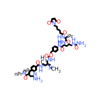 C=N/C=C(\C=C(/C)NC(=O)c1ccc2c(c1)N=C(N)CC(C(=O)N(CCC)CCC)=C2)CNC(=O)OCc1ccc(NC(=O)C(CCCNC(N)=O)NC(=O)C(NC(=O)CCCCCN2C(=O)C=CC2=O)C(C)C)cc1